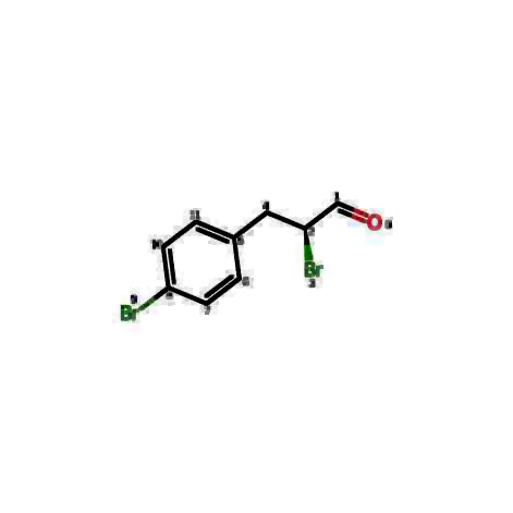 O=C[C@@H](Br)Cc1ccc(Br)cc1